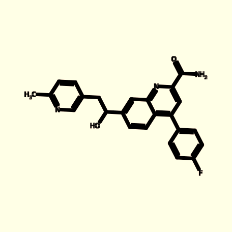 Cc1ccc(CC(O)c2ccc3c(-c4ccc(F)cc4)cc(C(N)=O)nc3c2)cn1